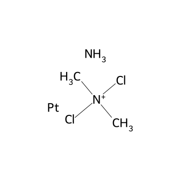 C[N+](C)(Cl)Cl.N.[Pt]